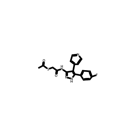 CC(=O)SCC(=O)Nc1n[nH]c(-c2ccc(F)cc2)c1-c1ccncc1